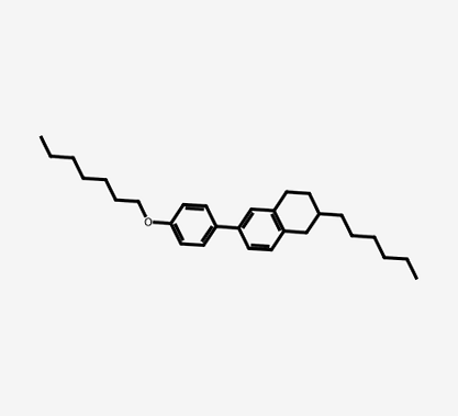 CCCCCCCOc1ccc(-c2ccc3c(c2)CCC(CCCCCC)C3)cc1